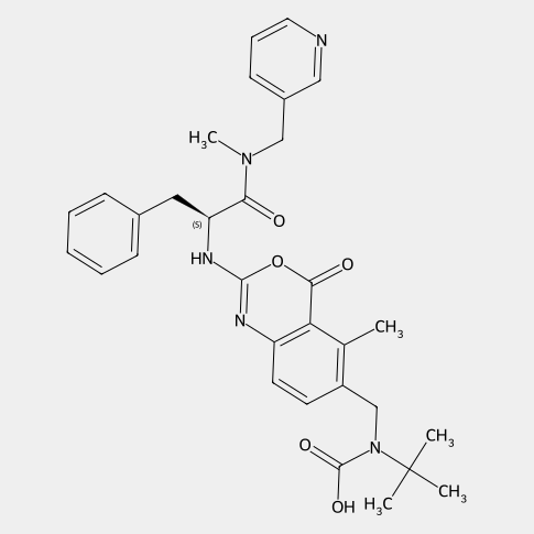 Cc1c(CN(C(=O)O)C(C)(C)C)ccc2nc(N[C@@H](Cc3ccccc3)C(=O)N(C)Cc3cccnc3)oc(=O)c12